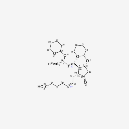 CCCCC[C@@H](/C=C/[C@H]1[C@H](OC2CCCCO2)CC(=O)[C@@H]1C/C=C\CCCC(=O)O)OC1CCCCO1